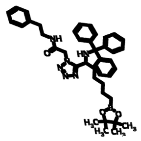 CC1(C)OB(CCCCCC(NC(c2ccccc2)(c2ccccc2)c2ccccc2)c2nnnn2CC(=O)NCCc2ccccc2)OC1(C)C